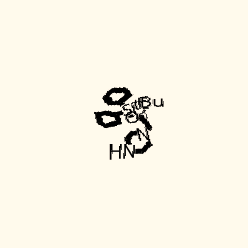 CC(C)(C)[Si](O[C@H](CF)CN1CCNCC1)(c1ccccc1)c1ccccc1